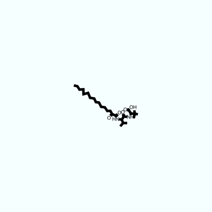 CCCCCCCCCCCCCCC(=O)C(=O)NC(C(=O)NC(C(=O)O)C(C)(C)C)C(C)C